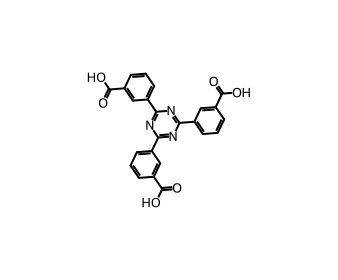 O=C(O)c1cccc(-c2nc(-c3cccc(C(=O)O)c3)nc(-c3cccc(C(=O)O)c3)n2)c1